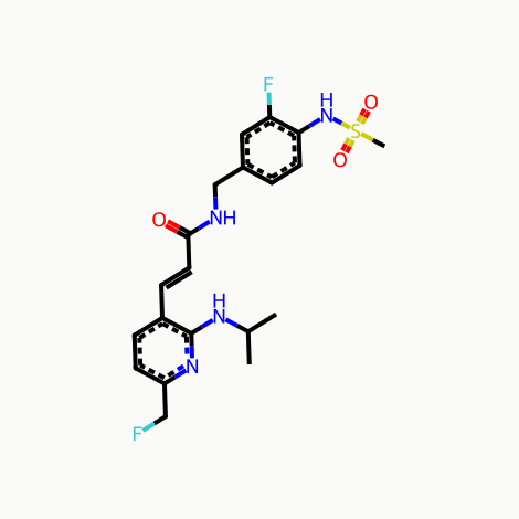 CC(C)Nc1nc(CF)ccc1/C=C/C(=O)NCc1ccc(NS(C)(=O)=O)c(F)c1